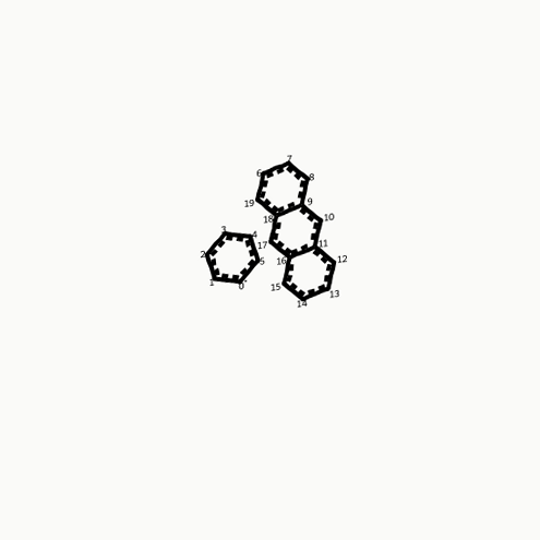 [c]1ccccc1.c1ccc2cc3ccccc3cc2c1